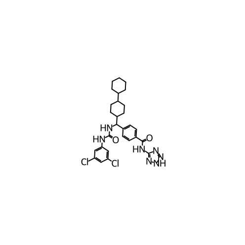 O=C(Nc1cc(Cl)cc(Cl)c1)NC(c1ccc(C(=O)Nc2nn[nH]n2)cc1)C1CCC(C2CCCCC2)CC1